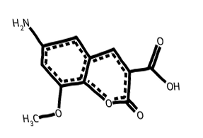 COc1cc(N)cc2cc(C(=O)O)c(=O)oc12